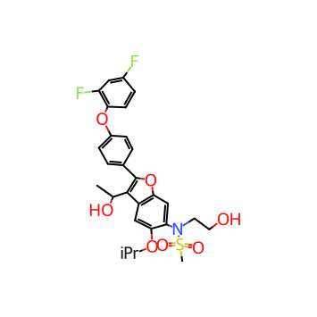 CC(C)Oc1cc2c(C(C)O)c(-c3ccc(Oc4ccc(F)cc4F)cc3)oc2cc1N(CCO)S(C)(=O)=O